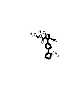 CCOC(=O)c1c(-c2ccc(-c3ccccc3C)cc2)c(C#N)cn1C